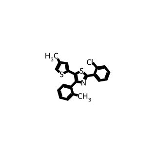 Cc1csc(-c2sc(-c3ccccc3Cl)nc2-c2ccccc2C)c1